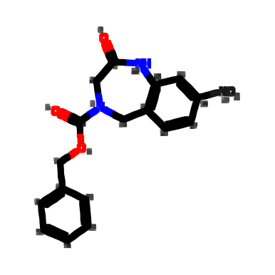 O=C1CN(C(=O)OCc2ccccc2)Cc2ccc([N+](=O)[O-])cc2N1